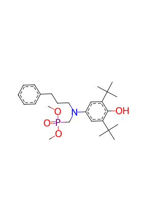 COP(=O)(CN(CCCc1ccccc1)c1cc(C(C)(C)C)c(O)c(C(C)(C)C)c1)OC